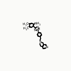 Cc1cc(N)c(-c2nnn(-c3ccc(CCN4CCc5ccncc5C4)cc3)n2)cc1C